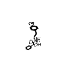 COc1ccc(CCNC(=O)C(O)c2ccccc2)cc1